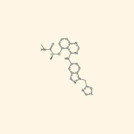 CNC(=O)[C@H](C)Oc1cccc2ncnc(Nc3ccc4c(cnn4Cc4cscn4)c3)c12